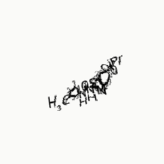 Cc1cccc(NC(=O)Nc2nc3ccc(OC(=O)C(C)C)cc3s2)c1